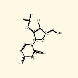 CC1(C)OC2C(O1)[C@@H](CO)O[C@H]2n1ccc(=O)[nH]c1=O